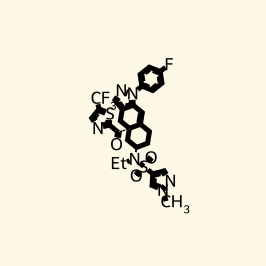 CCN([C@H]1CCC2=Cc3c(cnn3-c3ccc(F)cc3)C[C@]2(C(=O)c2ncc(C(F)(F)F)s2)C1)S(=O)(=O)c1cnn(C)c1